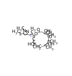 CSc1cc(/C=C(\C)[C@@H]2CC[C@](C)(O)CCC[C@H](C)[C@H](O)[C@@H](C)C(=O)C(C)(C)[C@@H](O)CC(=O)O2)nn1C